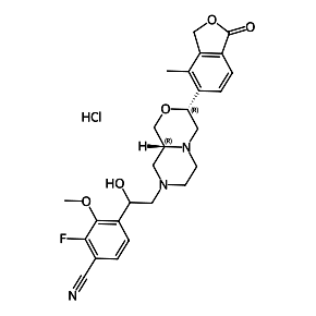 COc1c(C(O)CN2CCN3C[C@@H](c4ccc5c(c4C)COC5=O)OC[C@H]3C2)ccc(C#N)c1F.Cl